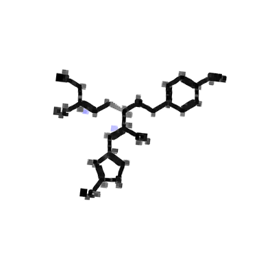 COc1ccc(CO[C@@H](C/C=C(/C)CO)/C(C)=C/c2csc(C)n2)cc1